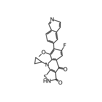 COc1c(-c2ccc3cnccc3c2)c(F)cc2c(=O)c3c(=O)[nH]sc3n(C3CC3)c12